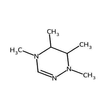 CC1C(C)N(C)N=CN1C